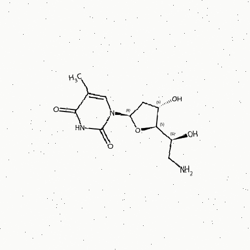 Cc1cn([C@H]2C[C@H](O)[C@@H]([C@@H](O)CN)O2)c(=O)[nH]c1=O